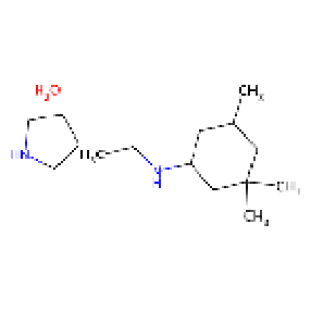 C1CCNC1.CCNC1CC(C)CC(C)(C)C1.O